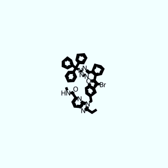 CCc1nc2ccc(C(=O)NC)nc2n1Cc1ccc2oc(-c3ccccc3-c3nnn(C(c4ccccc4)(c4ccccc4)c4ccccc4)n3)c(Br)c2c1